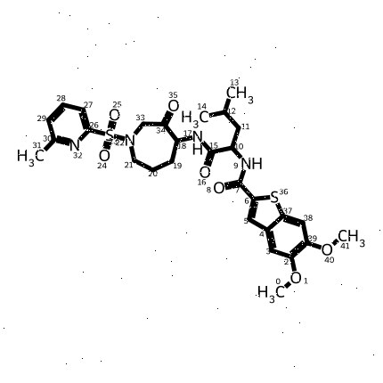 COc1cc2cc(C(=O)NC(CC(C)C)C(=O)NC3CCCN(S(=O)(=O)c4cccc(C)n4)CC3=O)sc2cc1OC